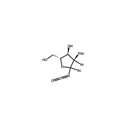 CC(=O)O[C@]1(C(C)=O)[C@H](O)[C@@H](CO)OC1(N=C=O)C(C)=O